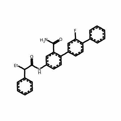 CCC(C(=O)Nc1ccc(-c2ccc(-c3ccccc3)c(F)c2)c(C(N)=O)c1)c1ccccc1